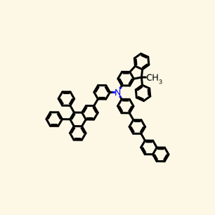 CC1(c2ccccc2)c2ccccc2-c2ccc(N(c3ccc(-c4ccc(-c5ccc6ccccc6c5)cc4)cc3)c3cccc(-c4ccc5c(c4)c(-c4ccccc4)c(-c4ccccc4)c4ccccc45)c3)cc21